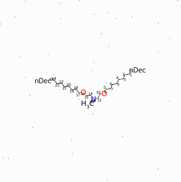 CCCCCCCCCCCCCCCCCCOCCN(C)CCOCCCCCCCCCCCCCCCCCC